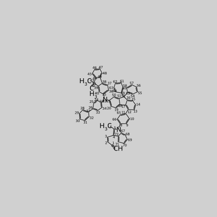 C#C/C=C\c1c(C)n(-c2ccc(-c3cccc4c3-c3ccc(N(c5ccc(-c6ccccc6)cc5)c5ccc6c(c5)C(C)(C)c5ccccc5-6)cc3C4(c3ccccc3)c3ccccc3)cc2)c2ccccc12